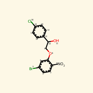 O=[N+]([O-])c1ccc(Br)cc1OCC(O)c1ccc(Cl)cc1